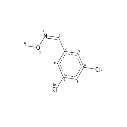 CO/N=C\c1cc(Cl)cc(Cl)c1